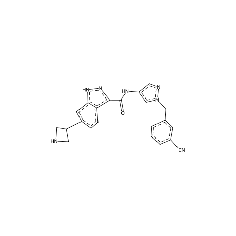 N#Cc1cccc(Cn2cc(NC(=O)c3n[nH]c4cc(C5CNC5)ccc34)cn2)c1